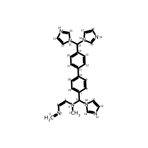 C=N/C=C\N(C)C(c1ccc(-c2ccc(C(n3ccnc3)n3ccnc3)cc2)cc1)n1ccnc1